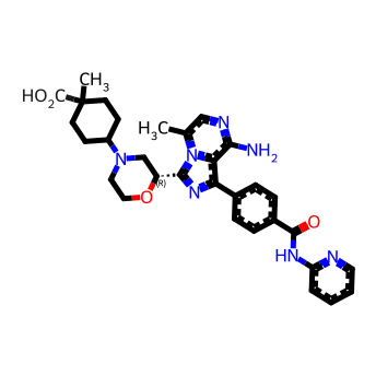 Cc1cnc(N)c2c(-c3ccc(C(=O)Nc4ccccn4)cc3)nc([C@H]3CN(C4CCC(C)(C(=O)O)CC4)CCO3)n12